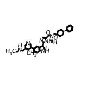 CCNCc1cncc(-c2ccc3[nH]nc(-c4ncc(C(=O)NC[C@]5(O)CC[C@@H](c6ccccc6)CC5)[nH]4)c3c2)c1C